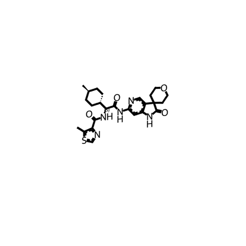 Cc1scnc1C(=O)N[C@H](C(=O)Nc1cc2c(cn1)C1(CCOCC1)C(=O)N2)[C@H]1CC[C@H](C)CC1